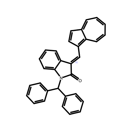 O=C1/C(=C/c2ccc3cccccc2-3)c2ccccc2N1C(c1ccccc1)c1ccccc1